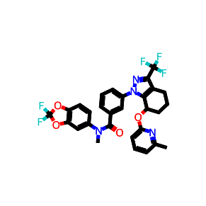 Cc1cccc(OC2CCCc3c(C(F)(F)F)nn(-c4cccc(C(=O)N(C)c5ccc6c(c5)OC(F)(F)O6)c4)c32)n1